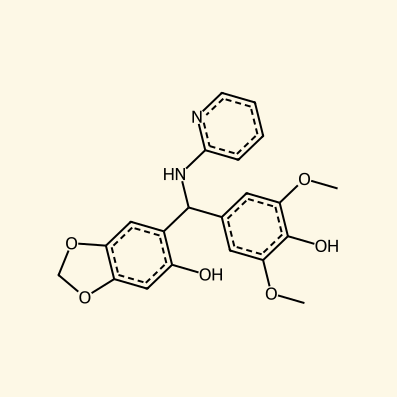 COc1cc(C(Nc2ccccn2)c2cc3c(cc2O)OCO3)cc(OC)c1O